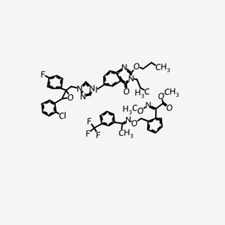 CCCOc1nc2ccc(I)cc2c(=O)n1CCC.CO/N=C(/C(=O)OC)c1ccccc1CO/N=C(\C)c1cccc(C(F)(F)F)c1.Fc1ccc(C2(Cn3cncn3)OC2c2ccccc2Cl)cc1